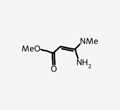 CNC(N)=CC(=O)OC